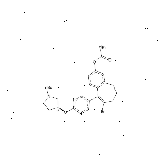 CCCCN1CC[C@H](Oc2ncc(C3=C(Br)CCCc4cc(OC(=O)C(C)(C)C)ccc43)cn2)C1